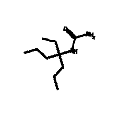 CCCC(CC)(CCC)NC(N)=O